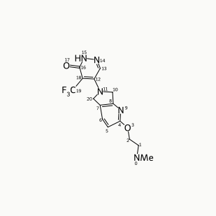 CNCCOc1ccc2c(n1)CN(c1cn[nH]c(=O)c1C(F)(F)F)C2